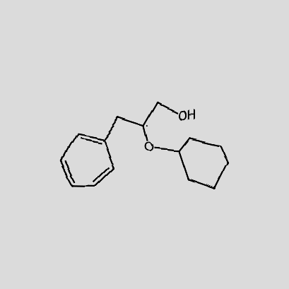 OC[C](Cc1ccccc1)OC1CCCCC1